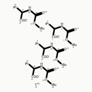 CC(C)C(NC(=O)OC(C)(C)C)C(=O)[O-].CC(C)C(NC(=O)OC(C)(C)C)C(=O)[O-].CC(C)C(NC(=O)OC(C)(C)C)C(=O)[O-].CC(C)C(NC(=O)OC(C)(C)C)C(=O)[O-].[C+4]